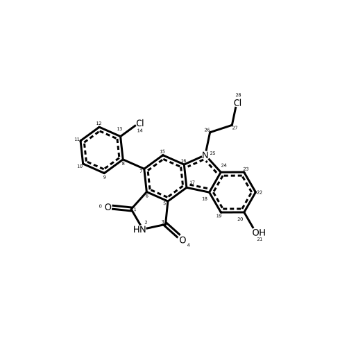 O=C1NC(=O)c2c1c(-c1ccccc1Cl)cc1c2c2cc(O)ccc2n1CCCl